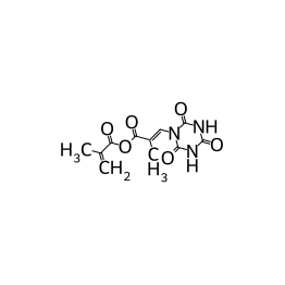 C=C(C)C(=O)OC(=O)C(C)=Cn1c(=O)[nH]c(=O)[nH]c1=O